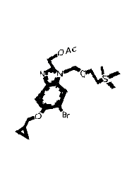 CC(=O)OCc1nc2cc(OCC3CC3)c(Br)cc2n1COCCS(C)(C)C